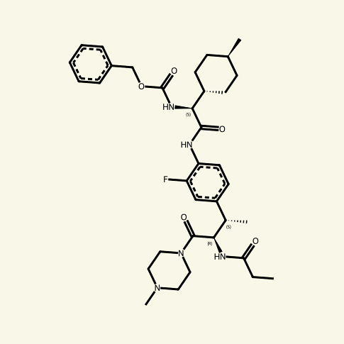 CCC(=O)N[C@@H](C(=O)N1CCN(C)CC1)[C@@H](C)c1ccc(NC(=O)[C@@H](NC(=O)OCc2ccccc2)[C@H]2CC[C@H](C)CC2)c(F)c1